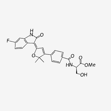 COC(=O)[C@@H](CO)NC(=O)c1ccc(C2=C/C(=C3\C(=O)Nc4cc(F)ccc43)OC2(C)C)cc1